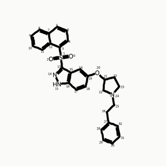 O=S(=O)(c1cccc2ccccc12)c1n[nH]c2ccc(OC3CCN(CCc4ccccc4)C3)cc12